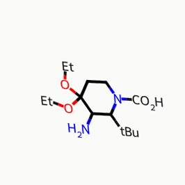 CCOC1(OCC)CCN(C(=O)O)C(C(C)(C)C)C1N